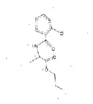 CCCOC(=O)C(C)NC(=O)c1cccnc1Cl